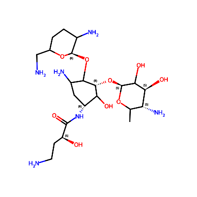 CC1O[C@@H](O[C@H]2C(O[C@H]3OC(CN)CCC3N)C(N)C[C@@H](NC(=O)[C@@H](O)CCN)C2O)C(O)[C@@H](O)[C@@H]1N